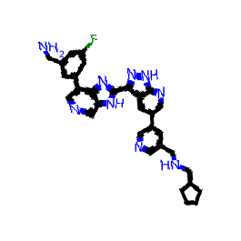 NCc1cc(F)cc(-c2cncc3[nH]c(-c4n[nH]c5ncc(-c6cncc(CNCC7CCCC7)c6)cc45)nc23)c1